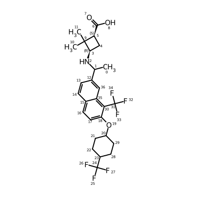 CC(N[C@@H]1C[C@H](C(=O)O)C1(C)C)c1ccc2ccc(OC3CCC(C(F)(F)F)CC3)c(C(F)(F)F)c2c1